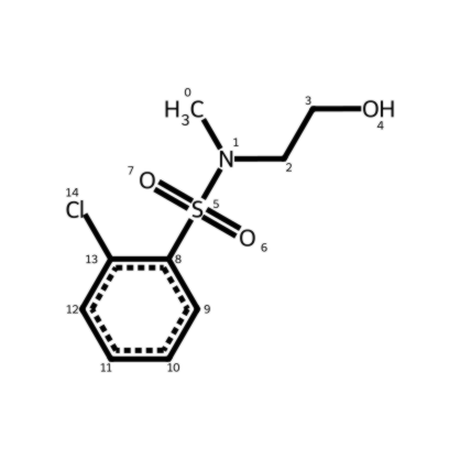 CN(CCO)S(=O)(=O)c1ccccc1Cl